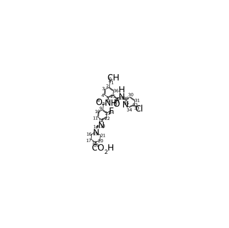 C#Cc1ccc(NC(=O)c2ccc(N=CN3CCC(C(=O)O)CC3)cc2F)c(C(=O)Nc2ccc(Cl)cn2)c1